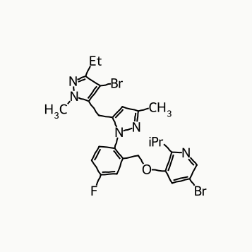 CCc1nn(C)c(Cc2cc(C)nn2-c2ccc(F)cc2COc2cc(Br)cnc2C(C)C)c1Br